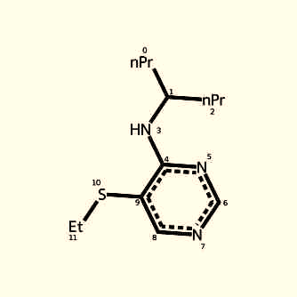 CCCC(CCC)Nc1ncncc1SCC